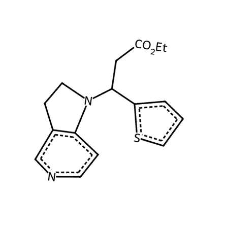 CCOC(=O)CC(c1cccs1)N1CCc2cnccc21